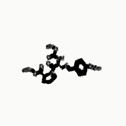 COc1ccc(CSC[C@@H](NC(=O)OC(C)(C)C)C(=O)N2CCC[C@H]2C(=O)OC(C)(C)C)cc1